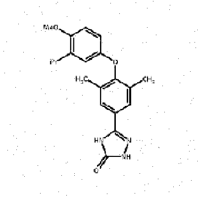 COc1ccc(Oc2c(C)cc(-c3n[nH]c(=O)[nH]3)cc2C)cc1C(C)C